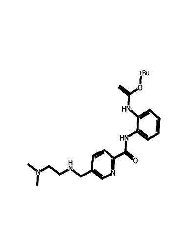 C=C(Nc1ccccc1NC(=O)c1ccc(CNCCN(C)C)cn1)OC(C)(C)C